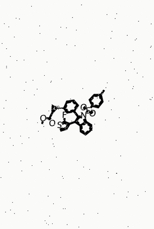 COC(=O)C1C[C@H]1c1cccc(-c2c(-c3ccsc3F)c3ccccc3n2S(=O)(=O)c2ccc(C)cc2)c1